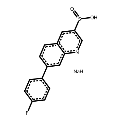 O=S(O)c1cnc2cc(-c3ccc(F)cc3)ccc2c1.[NaH]